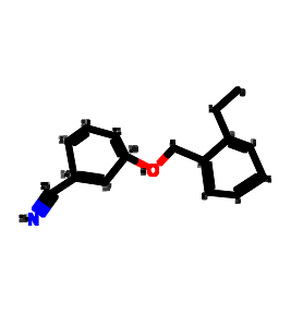 CCc1ccccc1COc1cccc(C#N)c1